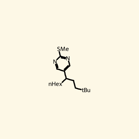 CCCCCCC(CCC(C)(C)C)c1cnc(SC)nc1